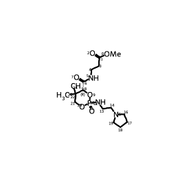 COC(=O)CCNC(=O)[C@@H]1OP(=O)(NCCN2CCCC2)OCC1(C)C